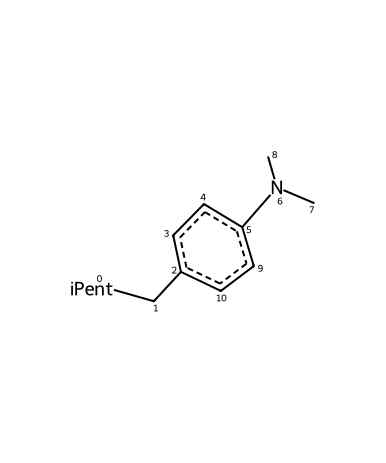 CCCC(C)Cc1ccc(N(C)C)cc1